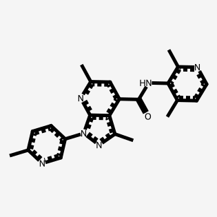 Cc1ccc(-n2nc(C)c3c(C(=O)Nc4c(C)ccnc4C)cc(C)nc32)cn1